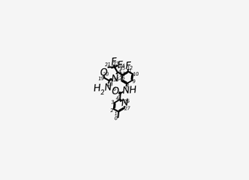 Cc1ccc(C(=O)Nc2ccc(F)c([C@@]3(C)N=C(N)COCC3(F)F)c2)nc1